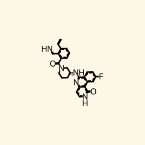 C=Cc1cccc(C(=O)N2CCC[C@@H](Nc3nc4cc[nH]c(=O)c4c4cc(F)ccc34)C2)c1C=N